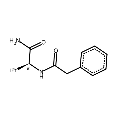 CC(C)[C@H](NC(=O)Cc1ccccc1)C(N)=O